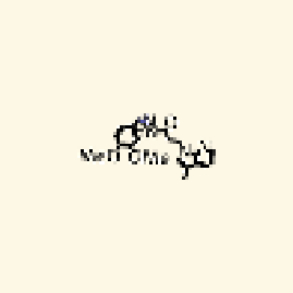 COc1ccc(/C=N\NC(=O)CCn2cc(C)c3cccnc32)cc1OC